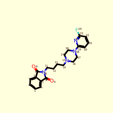 O=C1c2ccccc2C(=O)N1CCCCN1CCN(c2cccc(F)n2)CC1